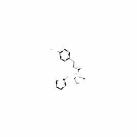 CC(C)(C)c1ccc(CCC(=O)N2C(=O)OC[C@@H]2Cc2ccccc2)cc1